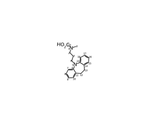 CN(CCCN1c2ccccc2CCc2ccccc21)C(=O)O